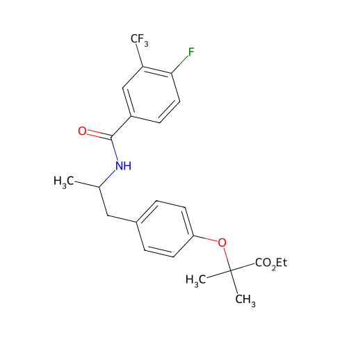 CCOC(=O)C(C)(C)Oc1ccc(CC(C)NC(=O)c2ccc(F)c(C(F)(F)F)c2)cc1